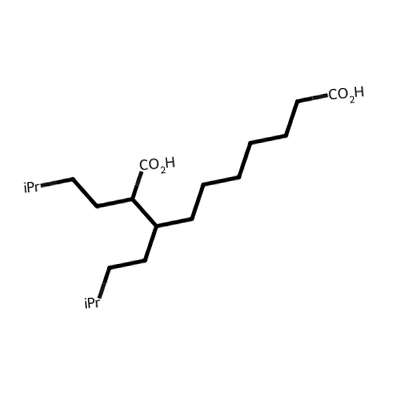 CC(C)CCC(CCCCCCC(=O)O)C(CCC(C)C)C(=O)O